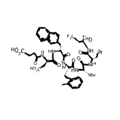 Cc1ccccc1C[C@H](NC(=O)[C@@H](Cc1ccc2ccccc2c1)NC(=O)[C@@H](CC(=O)O)NC(=O)CCC(=O)O)C(=O)N[C@H](C(=O)N[C@@H](CC(C)C)C(=O)N[C@H](C=O)CC(F)(F)F)C(C)(C)C